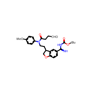 COc1ccc(N(CCC2COc3ccc(C(=N)NC(=O)OC(C)(C)C)cc32)C(=O)CCC=O)cc1